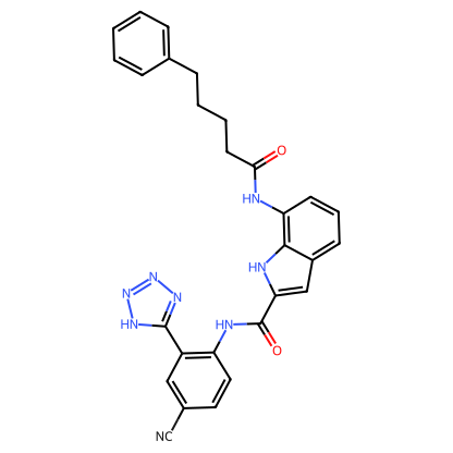 N#Cc1ccc(NC(=O)c2cc3cccc(NC(=O)CCCCc4ccccc4)c3[nH]2)c(-c2nnn[nH]2)c1